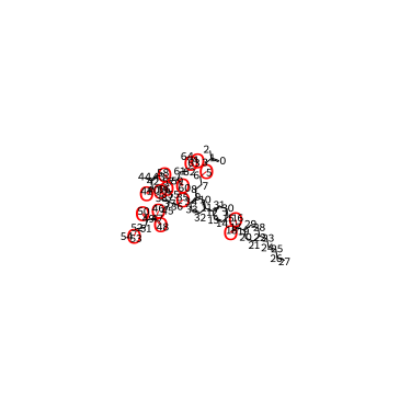 C=C(C)C(=O)OCCCc1cc(-c2ccc(OC(=O)C3CCC(CCCCC)CC3)cc2)ccc1OCC(COC(=O)C(=C)C)(COC(=O)C(=O)CCOC)COC(=O)C(=O)CCOC